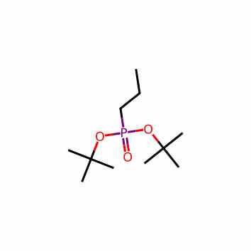 CCCP(=O)(OC(C)(C)C)OC(C)(C)C